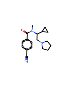 CN(C(=O)c1ccc(C#N)cc1)C(CN1CCCC1)C1CC1